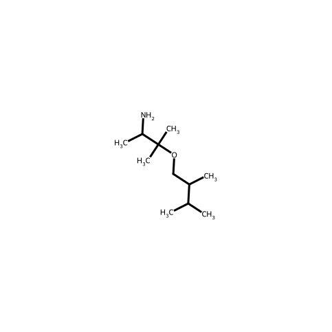 CC(C)C(C)COC(C)(C)C(C)N